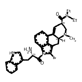 CCN(CC)C(=O)[C@@H]1C=C2c3cccc4c3c(c(Br)n4C(=O)[C@@H](N)Cc3c[nH]c4ccccc34)C[C@H]2N(C)C1